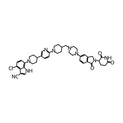 N#Cc1c[nH]c2c(N3CCC(c4ccc(N5CCC(CN6CCN(c7ccc8c(c7)CN(C7CCC(=O)NC7=O)C8=O)CC6)CC5)nc4)CC3)ccc(Cl)c12